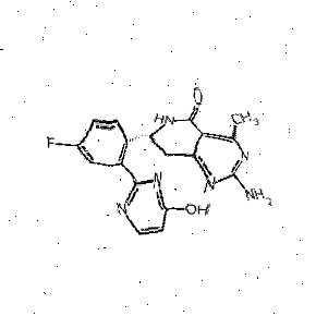 Cc1nc(N)nc2c1C(=O)N[C@@H](c1ccc(F)cc1-c1nccc(O)n1)C2